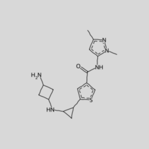 Cc1cc(NC(=O)c2csc(C3CC3NC3CC(N)C3)c2)n(C)n1